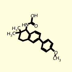 COc1ccc(-c2ccc3c(c2)CCC(C)(C)C3NC(=O)O)cc1